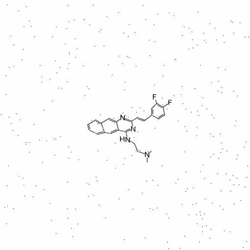 CN(C)CCNc1nc(/C=C/c2ccc(F)c(F)c2)nc2cc3ccccc3cc12